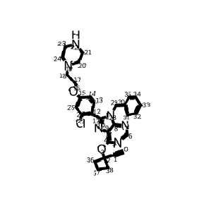 C#CC1(Oc2ncnc3c2nc(-c2ccc(OCCN4CCNCC4)cc2Cl)n3Cc2ccccc2)CCC1